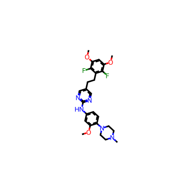 COc1cc(Nc2ncc(CCc3c(F)c(OC)cc(OC)c3F)cn2)ccc1N1CCN(C)CC1